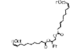 CCCCCCCC/C=C\CCCCCCCC(=O)OCC(OC(=O)CCCCCCC/C=C\CCCCCCCC)C(C)C